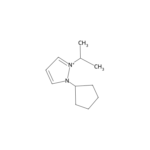 CC(C)[n+]1cccn1C1CCCC1